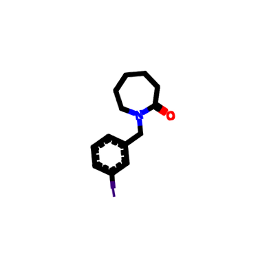 O=C1CCCCCN1Cc1cccc(I)c1